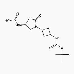 CC(C)(C)OC(=O)NC1CC(N2C[C@@H](NC(=O)O)CC2=O)C1